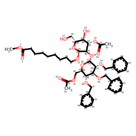 COC(=O)CCCCCCCCO[C@H]1O[C@H](CO)[C@@H](O)[C@H](OC(C)=O)[C@H]1O[C@H]1O[C@H](COC(C)=O)[C@@H](OCc2ccccc2)[C@H](OCc2ccccc2)[C@H]1OCc1ccccc1